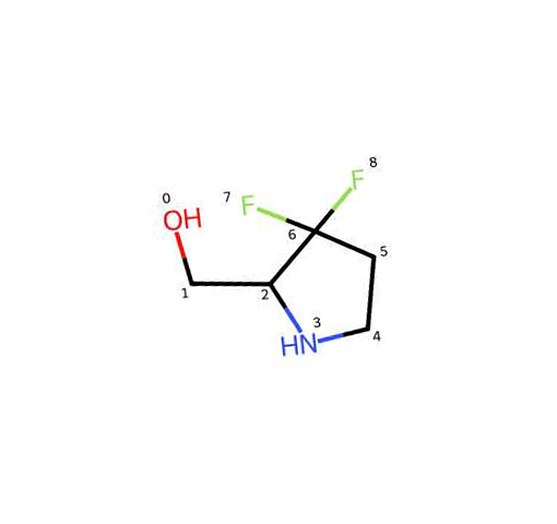 OCC1NCCC1(F)F